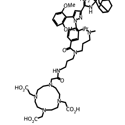 COc1cccc(OC)c1-c1cc(C(=O)NC2(C(=O)O)C3CC4CC(C3)CC2C4)nn1-c1ccc(C(=O)N(CCCNC(=O)CN2CCN(CC(=O)O)CCN(CC(=O)O)CCN(CC(=O)O)CC2)CCCN(C)C)cc1C(C)C